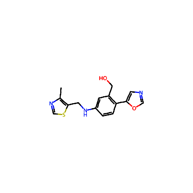 Cc1ncsc1CNc1ccc(-c2cnco2)c(CO)c1